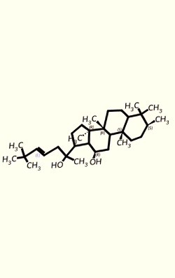 C[C@H]1CC[C@@]2(C)C(CC[C@]3(C)C2C[C@@H](O)C2C(C(C)(O)C/C=C/C(C)(C)C)CC[C@]23C)C1(C)C